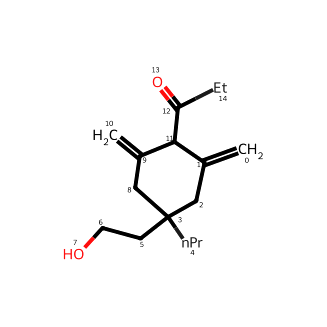 C=C1CC(CCC)(CCO)CC(=C)C1C(=O)CC